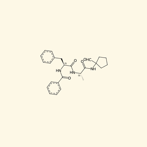 C[C@H](NC(=O)[C@H](Cc1ccccc1)NC(=O)c1ccccc1)C(=O)NC1(C=O)CCCC1